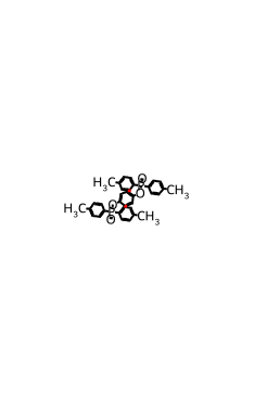 Cc1ccc(P(=O)(Oc2ccc(OP(=O)(c3ccc(C)cc3)c3ccc(C)cc3)cc2)c2ccc(C)cc2)cc1